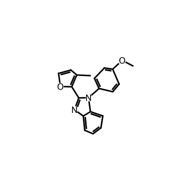 COc1ccc(-n2c(-c3occc3C)nc3ccccc32)cc1